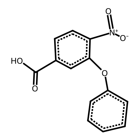 O=C(O)c1ccc([N+](=O)[O-])c(Oc2ccccc2)c1